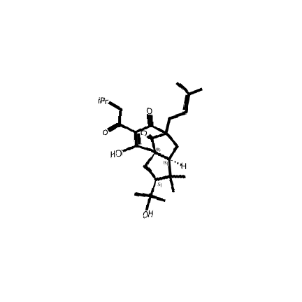 CC(C)=CCC12C[C@H]3C(C)(C)[C@@H](C(C)(C)O)C[C@]3(C1=O)C(O)=C(C(=O)CC(C)C)C2=O